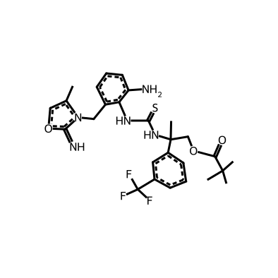 Cc1coc(=N)n1Cc1cccc(N)c1NC(=S)NC(C)(COC(=O)C(C)(C)C)c1cccc(C(F)(F)F)c1